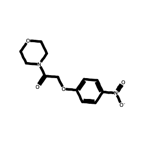 O=C(COc1ccc([N+](=O)[O-])cc1)N1CCOCC1